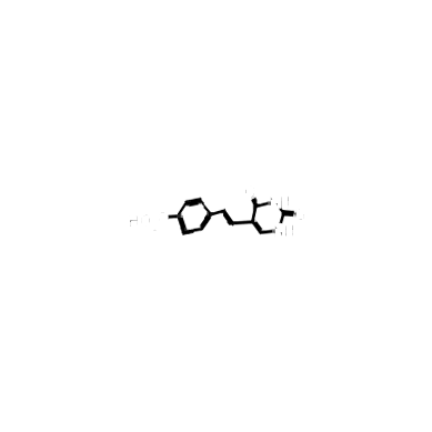 O=C(O)c1ccc(C=Cc2c[nH]c(=O)[nH]c2=O)cc1